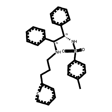 Cc1ccc(S(=O)(=O)N[C@@H](c2ccccc2)[C@@H](NCCCc2ccccc2)c2ccccc2)cc1